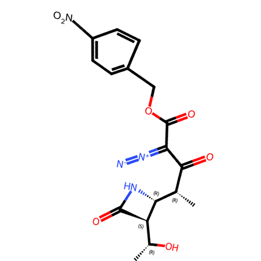 C[C@@H](O)[C@H]1C(=O)N[C@@H]1[C@@H](C)C(=O)C(=[N+]=[N-])C(=O)OCc1ccc([N+](=O)[O-])cc1